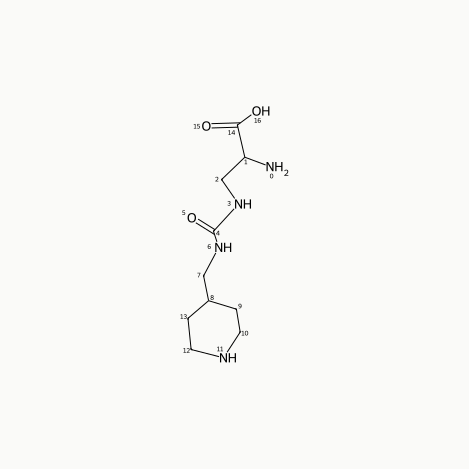 NC(CNC(=O)NCC1CCNCC1)C(=O)O